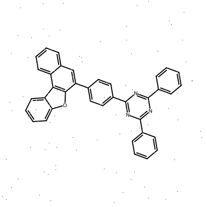 c1ccc(-c2nc(-c3ccccc3)nc(-c3ccc(-c4cc5ccccc5c5c4oc4ccccc45)cc3)n2)cc1